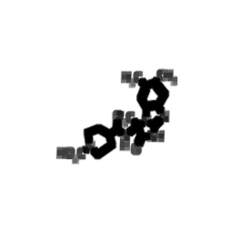 Cc1cc2nc3n(c2cc1C)C(NC(=O)C1CCN(C(=O)O)CC1)(C(F)(F)F)C(=O)N3